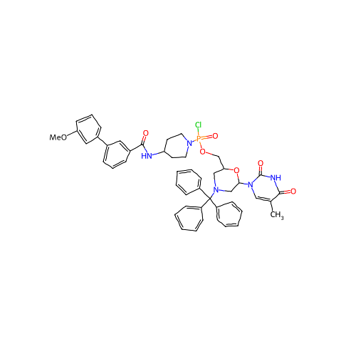 COc1cccc(-c2cccc(C(=O)NC3CCN(P(=O)(Cl)OCC4CN(C(c5ccccc5)(c5ccccc5)c5ccccc5)CC(n5cc(C)c(=O)[nH]c5=O)O4)CC3)c2)c1